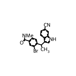 CNC(=O)c1ccc(C(C)c2c[nH]c3cc(C#N)ccc23)c(Br)c1